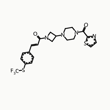 O=C(C=Cc1ccc(SC(F)(F)F)cc1)N1CC(N2CCN(C(=O)c3nccs3)CC2)C1